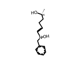 C[C@@H](O)CCC=CN(O)Cc1ccccc1